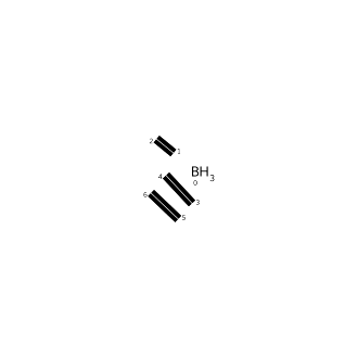 B.C=C.C=C.C=C